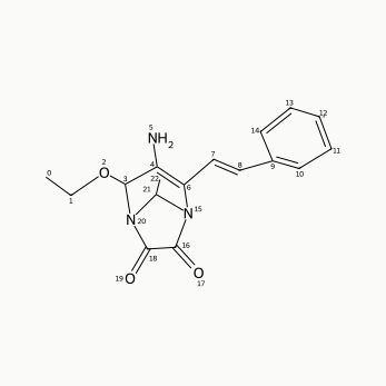 CCOC1C(N)=C(C=Cc2cc[c]cc2)N2C(=O)C(=O)N1C2C